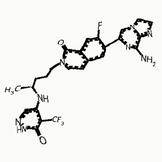 C[C@@H](CCCn1ccc2cc(-c3cn4ccnc4c(N)n3)c(F)cc2c1=O)Nc1cn[nH]c(=O)c1C(F)(F)F